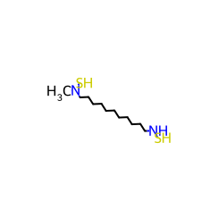 CN(S)CCCCCCCCCCCNS